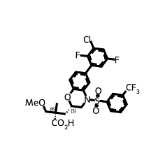 COC[C@@](C)(C[C@H]1CN(S(=O)(=O)c2cccc(C(F)(F)F)c2)c2cc(-c3cc(F)cc(Cl)c3F)ccc2O1)C(=O)O